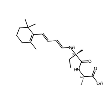 CC[C@](C)(NC=CC=CC1=C(C)CCCC1(C)C)C(=O)N[C@@H](C)C(=O)O